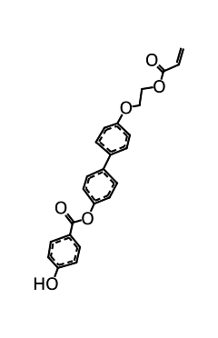 C=CC(=O)OCCOc1ccc(-c2ccc(OC(=O)c3ccc(O)cc3)cc2)cc1